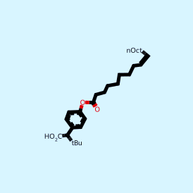 CCCCCCCC/C=C\CCCCCCCC(=O)Oc1ccc(C(C(=O)O)C(C)(C)C)cc1